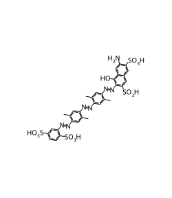 Cc1cc(N=Nc2cc(S(=O)(=O)O)ccc2S(=O)(=O)O)c(C)cc1N=Nc1cc(C)c(N=Nc2c(S(=O)(=O)O)cc3cc(S(=O)(=O)O)c(N)cc3c2O)cc1C